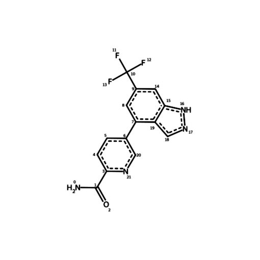 NC(=O)c1ccc(-c2cc(C(F)(F)F)cc3[nH]ncc23)cn1